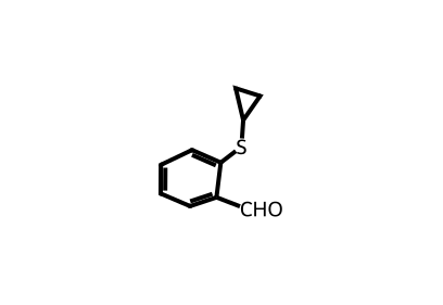 O=Cc1ccccc1SC1CC1